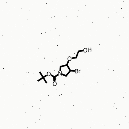 CC(C)(C)OC(=O)N1CC(Br)C(OCCO)C1